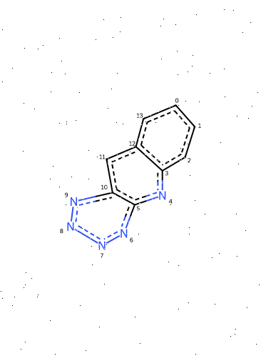 c1ccc2nc3nnnnc3cc2c1